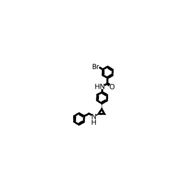 O=C(Nc1ccc([C@@H]2C[C@H]2NCc2ccccc2)cc1)c1cccc(Br)c1